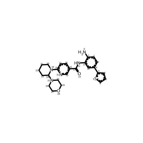 Nc1ccc(-c2cccs2)cc1NC(=O)c1ccc(N2CCCCC2N2CCOCC2)nc1